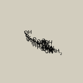 CC(C)(COP(=O)(O)OP(=O)(O)OC[C@H]1O[C@@H](n2cnc3c(N)ncnc32)[C@H](O)[C@@H]1OP(=O)(O)O)[C@@H](O)C(=O)NCCC(=O)NCCSC(=O)c1ccc(CO)cc1